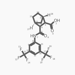 O=C(O)C1C(C(=O)Nc2cc(C(F)(F)F)cc(C(F)(F)F)c2)[C@H]2CC[C@H]1C2